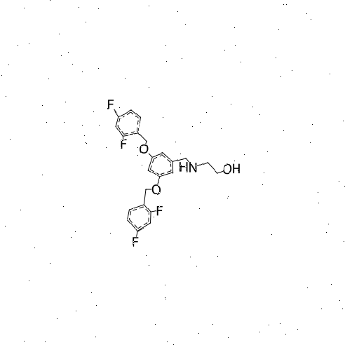 OCCNCc1cc(OCc2ccc(F)cc2F)cc(OCc2ccc(F)cc2F)c1